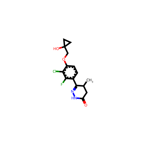 CC1CC(=O)NN=C1c1ccc(OCC2(O)CC2)c(Cl)c1F